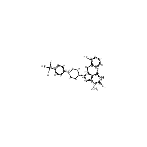 Cn1c(=O)[nH]c(=O)c2c1nc(N1CCN(c3ccc(C(F)(F)F)cc3)CC1)n2Cc1ccccc1F